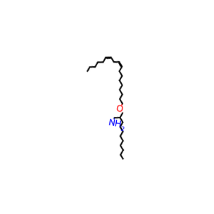 CCCCC/C=C\C/C=C\CCCCCCCCOCC(CN)CCCCCCCCC